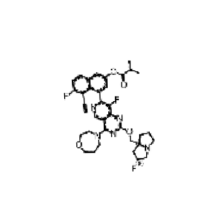 C#Cc1c(F)ccc2cc(OC(=O)C(C)C)cc(-c3ncc4c(N5CCCOCC5)nc(OC[C@@]56CCCN5C[C@H](F)C6)nc4c3F)c12